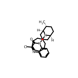 C[C@@H]1CC[C@H]2C[C@@H](n3c(=O)c(Cl)nc4ccccc43)C[C@@H]1N2C1CCCCCCC1